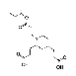 CCC(C)OC(=O)CCC1CCC(CCC(=O)O)CC1CCC(=O)O